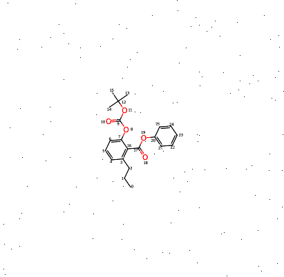 CCCc1cccc(OC(=O)OC(C)(C)C)c1C(=O)Oc1ccccc1